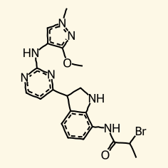 COc1nn(C)cc1Nc1nccc(C2CNc3c(NC(=O)C(C)Br)cccc32)n1